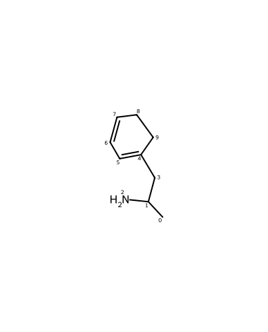 CC(N)CC1=CC=CCC1